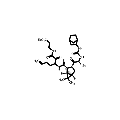 C=CCCC(NC(=O)[C@@H]1[C@@H]2[C@H](CN1C(=O)[C@@H](NC(=O)NC1CC3CCC1C3)C(C)(C)C)C2(C)C)C(=O)C(=O)NCCC(=O)OCC